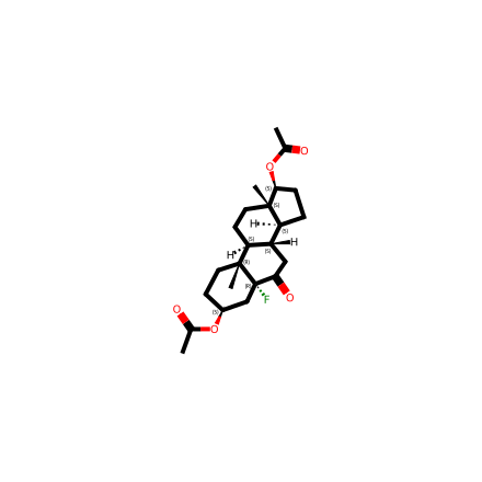 CC(=O)O[C@H]1CC[C@]2(C)[C@H]3CC[C@]4(C)[C@@H](OC(C)=O)CC[C@H]4[C@@H]3CC(=O)[C@@]2(F)C1